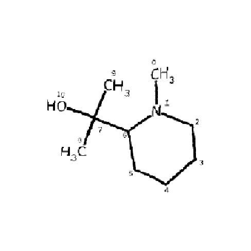 CN1CCCCC1C(C)(C)O